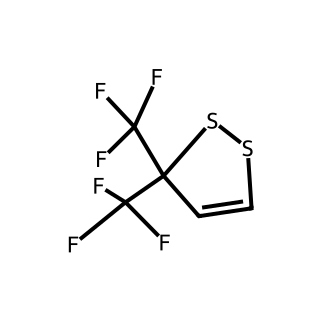 FC(F)(F)C1(C(F)(F)F)C=CSS1